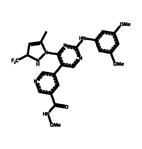 CONC(=O)c1cncc(-c2cnc(Nc3cc(OC)cc(OC)c3)nc2N2NC(C(F)(F)F)C=C2C)c1